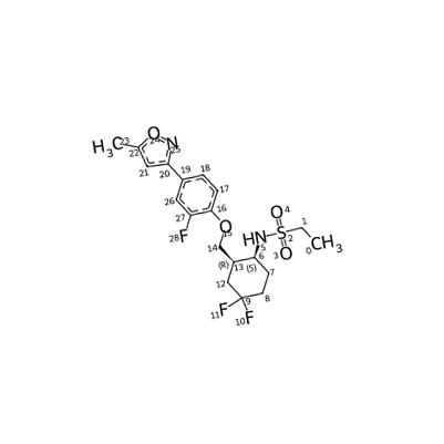 CCS(=O)(=O)N[C@H]1CCC(F)(F)C[C@H]1COc1ccc(-c2cc(C)on2)cc1F